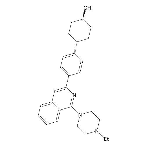 CCN1CCN(c2nc(-c3ccc([C@H]4CC[C@H](O)CC4)cc3)cc3ccccc23)CC1